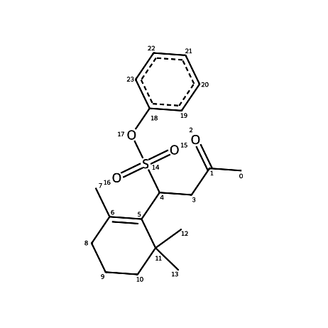 CC(=O)CC(C1=C(C)CCCC1(C)C)S(=O)(=O)Oc1ccccc1